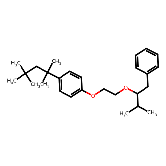 C[C](C)C(Cc1ccccc1)OCCOc1ccc(C(C)(C)CC(C)(C)C)cc1